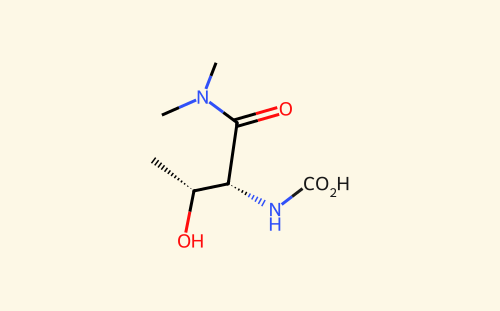 C[C@@H](O)[C@@H](NC(=O)O)C(=O)N(C)C